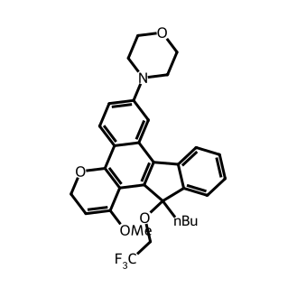 CCCCC1(OCC(F)(F)F)c2ccccc2-c2c1c1c(c3ccc(N4CCOCC4)cc23)OCC=C1OC